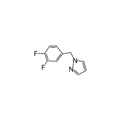 Fc1ccc(Cn2cccn2)cc1F